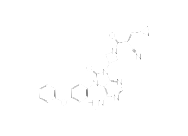 N#CC(=CC1CC1)C(=O)N1CC(n2c(=O)n(-c3ccc(Oc4ccccc4)cc3)c3c(N)ncnc32)C1